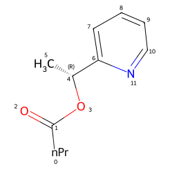 CCCC(=O)O[C@H](C)c1ccccn1